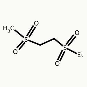 CCS(=O)(=O)CCS(C)(=O)=O